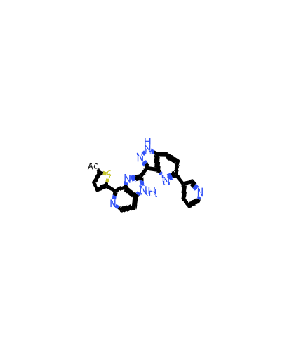 CC(=O)c1ccc(-c2nccc3[nH]c(-c4n[nH]c5ccc(-c6cccnc6)nc45)nc23)s1